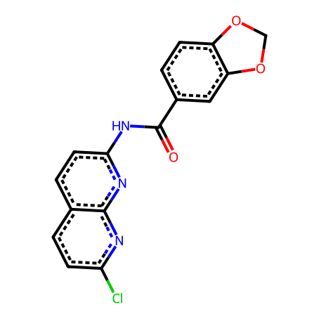 O=C(Nc1ccc2ccc(Cl)nc2n1)c1ccc2c(c1)OCO2